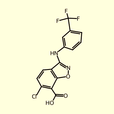 O=C(O)c1c(Cl)ccc2c(Nc3cccc(C(F)(F)F)c3)noc12